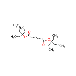 CCCC(CC)(CC)OC(=O)CCCCC(=O)OC(CC)(CC)CCC